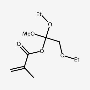 C=C(C)C(=O)OC(COCC)(OC)OCC